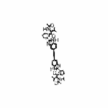 CC(=O)N[C@H](C(=O)N1CCC[C@H]1c1nc2cc(C#Cc3ccc4[nH]c([C@@H]5CCCN5C(=O)[C@H](NC(C)=O)C(C)C)nc4c3)ccc2[nH]1)C(C)C